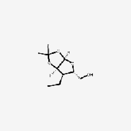 CC[C@H]1[C@H]2OC(C)(C)O[C@H]2O[C@@H]1CO